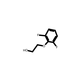 OCCOc1c(F)cccc1F